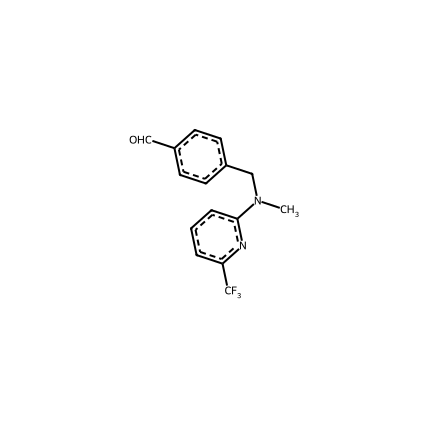 CN(Cc1ccc(C=O)cc1)c1cccc(C(F)(F)F)n1